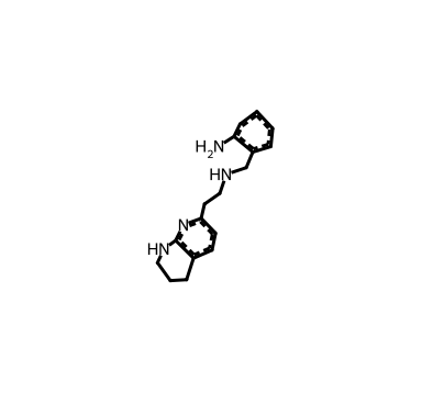 Nc1ccccc1CNCCc1ccc2c(n1)NCCC2